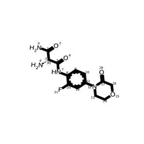 NC(=O)[C@@H](N)C(=O)Nc1ccc(N2CCOCC2=O)cc1F